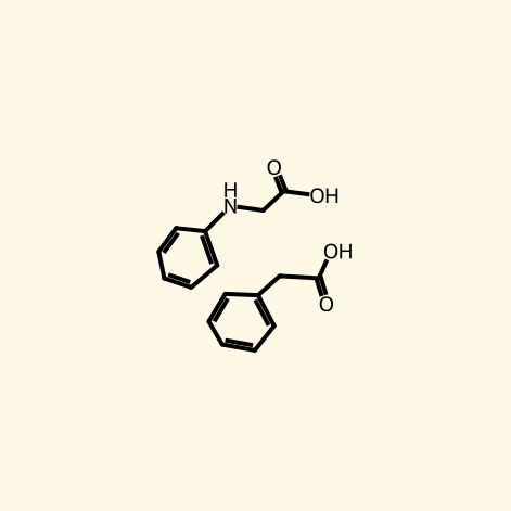 O=C(O)CNc1ccccc1.O=C(O)Cc1ccccc1